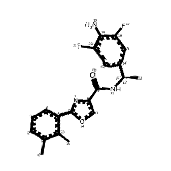 Cc1cccc(-c2nc(C(=O)N[C@H](C)c3cc(F)c(N)c(F)c3)co2)c1C